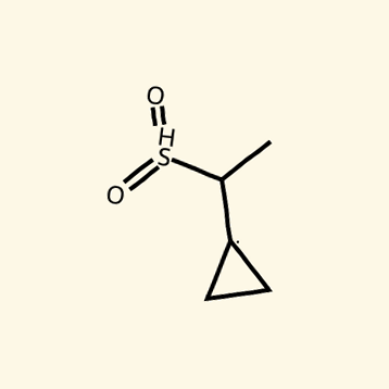 CC([C]1CC1)[SH](=O)=O